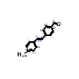 C[n+]1ccc(/C=C/c2ccc(C=O)cc2)cc1